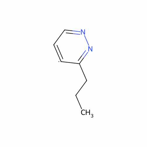 CCCc1[c]ccnn1